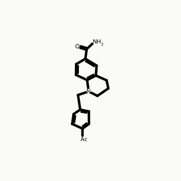 CC(=O)c1ccc(CN2CCCc3cc(C(N)=O)ccc32)cc1